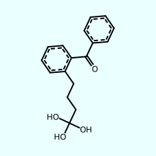 O=C(c1ccccc1)c1ccccc1CCCC(O)(O)O